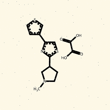 CN1CCC(c2nc(-c3ccsc3)cs2)C1.O=C(O)C(=O)O